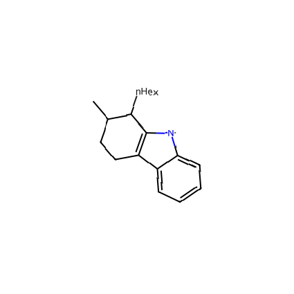 CCCCCCC1C2=C(CCC1C)c1ccccc1[N]2